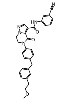 COCCc1cccc(Cc2ccc(N3CCn4ncc(C(=O)Nc5cccc(C#N)c5)c4C3=O)cc2)c1